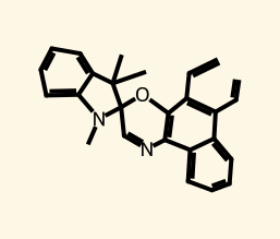 C=Cc1c2c(c3ccccc3c1C=C)N=CC1(O2)N(C)c2ccccc2C1(C)C